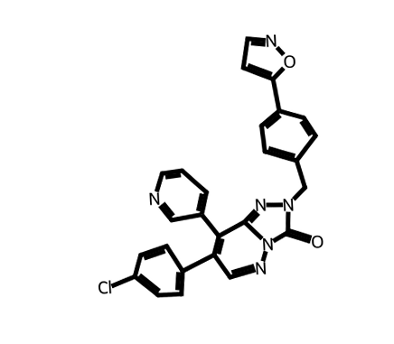 O=c1n(Cc2ccc(-c3ccno3)cc2)nc2c(-c3cccnc3)c(-c3ccc(Cl)cc3)cnn12